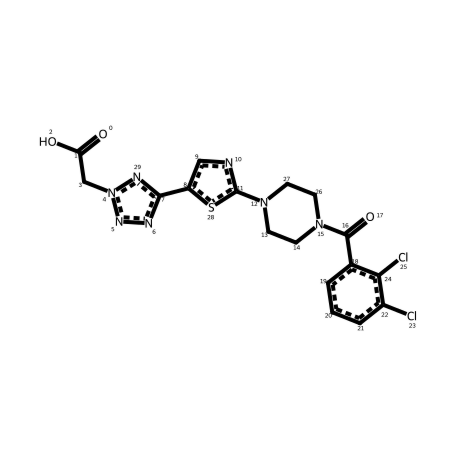 O=C(O)Cn1nnc(-c2cnc(N3CCN(C(=O)c4cccc(Cl)c4Cl)CC3)s2)n1